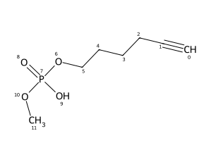 C#CCCCCOP(=O)(O)OC